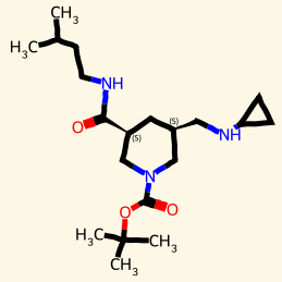 CC(C)CCNC(=O)[C@H]1C[C@@H](CNC2CC2)CN(C(=O)OC(C)(C)C)C1